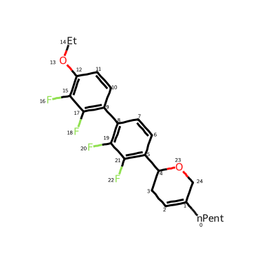 CCCCCC1=CCC(c2ccc(-c3ccc(OCC)c(F)c3F)c(F)c2F)OC1